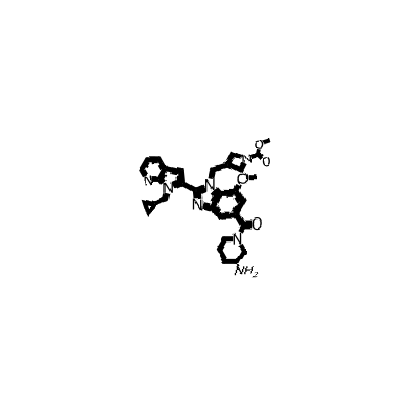 COC(=O)N1CC(Cn2c(-c3cc4cccnc4n3CC3CC3)nc3cc(C(=O)N4CCC[C@@H](N)C4)cc(OC)c32)C1